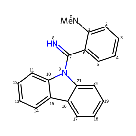 CNc1ccccc1C(=N)n1c2ccccc2c2ccccc21